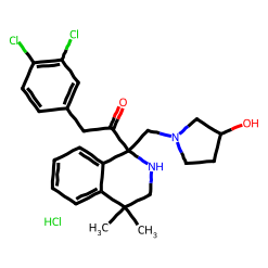 CC1(C)CNC(CN2CCC(O)C2)(C(=O)Cc2ccc(Cl)c(Cl)c2)c2ccccc21.Cl